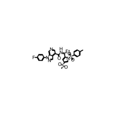 CC[C@@H](NC(=O)c1cncc2c1cnn2-c1ccc(F)cc1)c1cc(S(C)(=O)=O)cn1S(=O)(=O)c1ccc(C)cc1